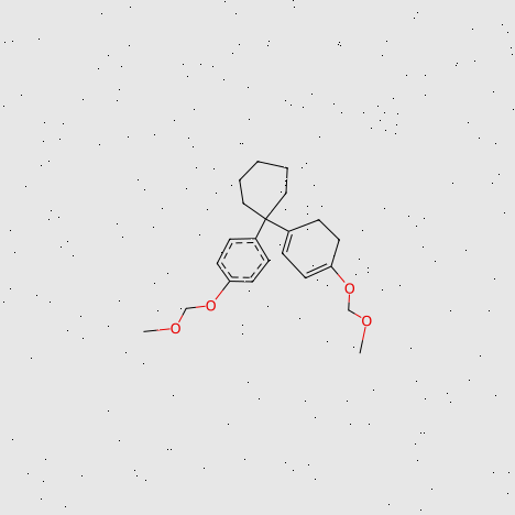 COCOC1=CC=C(C2(c3ccc(OCOC)cc3)CCCCC2)CC1